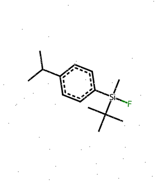 CC(C)c1ccc([Si](C)(F)C(C)(C)C)cc1